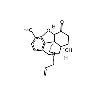 C=CCN1CC[C@]23c4c5ccc(OC)c4O[C@H]2C(=O)CC[C@@]3(O)[C@H]1C5